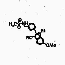 CCn1c(-c2cccc(CNS(C)(=O)=O)c2)c(C#N)c2ccc(OC)cc21